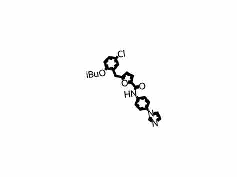 CC(C)COc1ccc(Cl)cc1Cc1ccc(C(=O)Nc2ccc(-n3ccnc3)cc2)o1